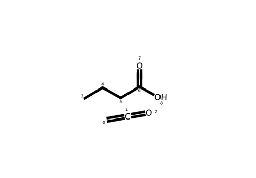 C=C=O.CCCC(=O)O